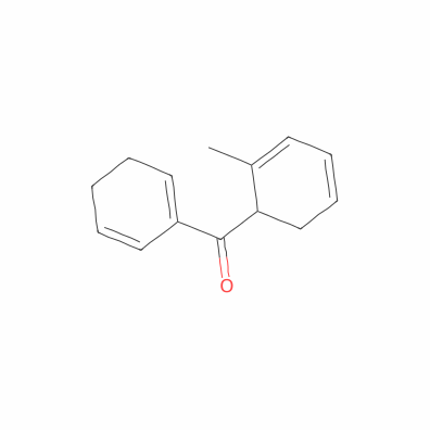 CC1=CC=CCC1C(=O)C1=CCCC=C1